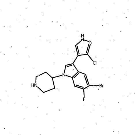 Fc1cc2c(cc1Br)c(-c1c[nH]nc1Cl)cn2C1CCNCC1